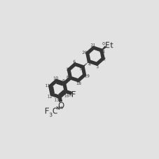 CC[C@H]1CC[C@H](C2CCC(c3cccc(OC(F)(F)F)c3F)CC2)CC1